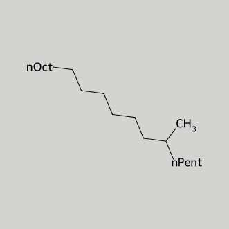 [CH2]CCCCCCCCCCCCCC(C)CCCCC